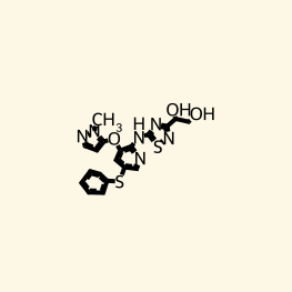 Cn1nccc1Oc1cc(Sc2ccccc2)cnc1Nc1nc(C(O)CO)ns1